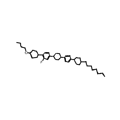 CCCCCCCCC1CCC(c2ccc(C3CCC(c4ccc(C5CCC(OCCCC)CC5)c(F)c4)CC3)cc2)CC1